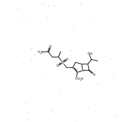 CC(O)C1C(=O)N2C(C(=O)O)=C(CS(=O)(=O)C(C)CC(N)=O)CC12